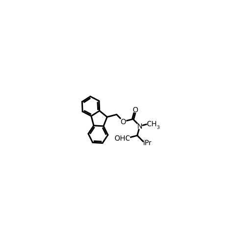 CC(C)C(C=O)N(C)C(=O)OCC1c2ccccc2-c2ccccc21